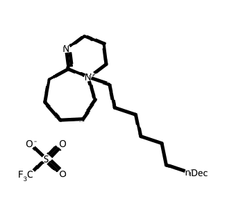 CCCCCCCCCCCCCCCC[N+]12CCCCCC1=NCCC2.O=S(=O)([O-])C(F)(F)F